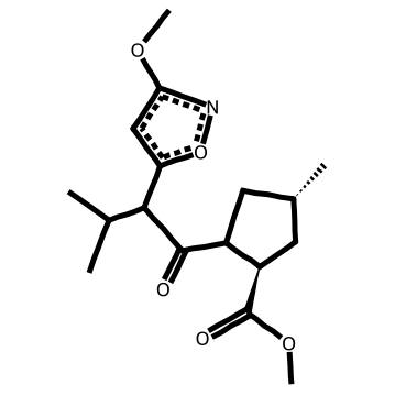 COC(=O)[C@@H]1C[C@@H](C)CC1C(=O)C(c1cc(OC)no1)C(C)C